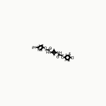 CC(C)c1ccc(OCC(=O)NC23CC(NC(=O)COc4ccc(Cl)c(F)c4)(C2)C3)cn1